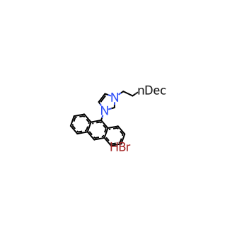 Br.CCCCCCCCCCCCN1C=CN(c2c3ccccc3cc3ccccc23)C1